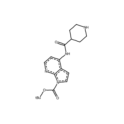 CC(C)(C)OC(=O)n1ccc2c(NC(=O)C3CCNCC3)ccnc21